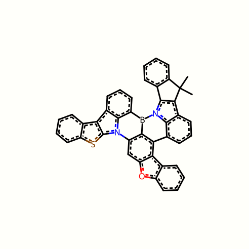 CC1(C)c2ccccc2-c2c1c1cccc3c1n2B1c2c(cc4oc5ccccc5c4c2-3)-n2c3sc4ccccc4c3c3cccc1c32